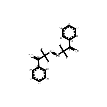 CC(C)(N=NC(C)(C)C(=O)c1ccccc1)C(=O)c1ccccc1